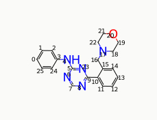 c1ccc(Nc2ncnc(-c3ccccc3CN3CCOCC3)n2)cc1